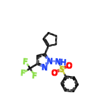 O=S(=O)(Nn1nc(C(F)(F)F)cc1C1=CCCC1)c1ccccc1